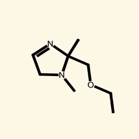 CCOCC1(C)N=CCN1C